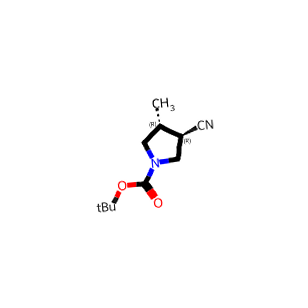 C[C@H]1CN(C(=O)OC(C)(C)C)C[C@@H]1C#N